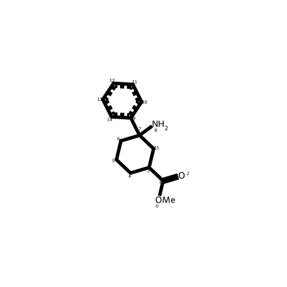 COC(=O)C1CCCC(N)(c2ccccc2)C1